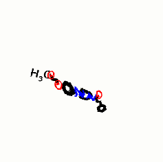 COCCOc1ccc(N2CCN(C(=O)CCc3ccccc3)CC2)cc1